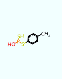 Cc1ccc(SP(O)S)cc1